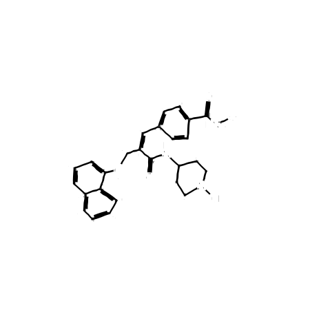 CN1CCC(NC(=O)C(=Cc2ccc(C(=O)NO)cc2)COc2cccc3ccccc23)CC1